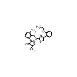 CCOc1ccccc1-c1csc(OCc2c(C)cccc2-n2nnn(C)c2=O)n1